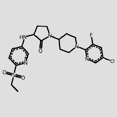 CCS(=O)(=O)c1ccc(NC2CCN(C3CCN(c4ncc(Cl)cc4F)CC3)C2=O)cn1